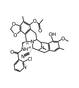 COc1c(C)cc2c(c1O)C1C3Cc4c(OC(C)=O)c(C)c5c(c4[C@H](CNC(=O)c4cccnc4Cl)N3[C@@H](C#N)C(C2)N1C)OCO5